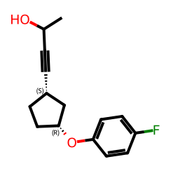 CC(O)C#C[C@H]1CC[C@@H](Oc2ccc(F)cc2)C1